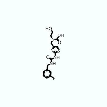 O=C(NCc1cccc(F)c1)Nc1nc(CN(CCO)C(=O)O)cs1